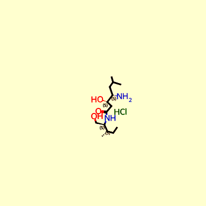 CC[C@H](C)[C@@H](CO)NC(=O)C[C@H](O)[C@@H](N)CC(C)C.Cl